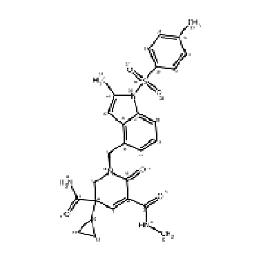 CNC(=O)C1=CC(C(N)=O)(C2CC2)CN(Cc2cccc3c2cc(C)n3S(=O)(=O)c2ccc(C)cc2)C1=O